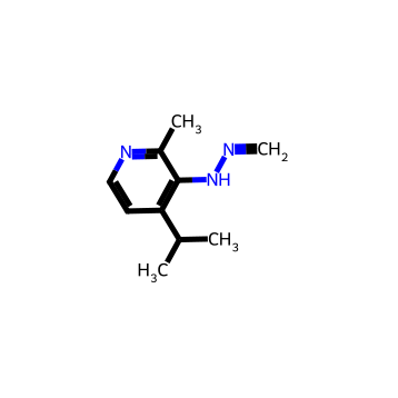 C=NNc1c(C(C)C)ccnc1C